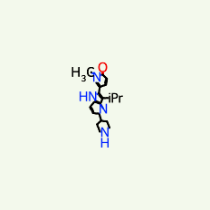 CC(C)c1c(-c2ccc(=O)n(C)c2)[nH]c2ccc(C3CCNCC3)nc12